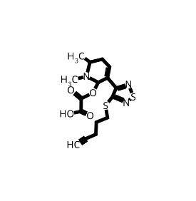 C#CCCCSc1nsnc1C1=CCC(C)N(C)C1OC(=O)C(=O)O